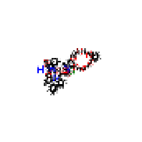 Cc1cn(C2CN(C(c3ccccc3)(c3ccccc3)c3ccccc3)CC(COP(=O)(Cl)N(C)c3ccc4c(c3)OCCOCCOc3ccccc3OCCOCCO4)O2)c(=O)[nH]c1=O